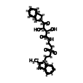 Cc1nc2ccccc2n1CCS(=O)(=O)CCNC(=O)[C@H](O)[C@@H](O)C(=O)N1Cc2ccccc2C1